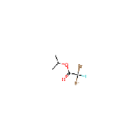 CC(C)OC(=O)C(F)(Br)Br